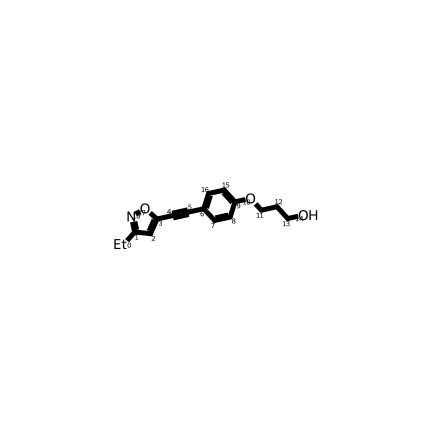 CCc1cc(C#Cc2ccc(OCCCO)cc2)on1